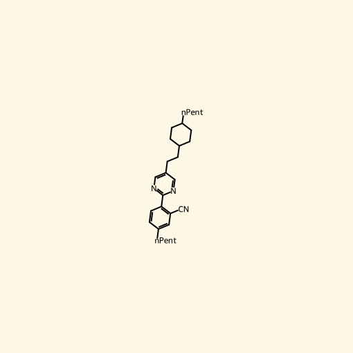 CCCCCc1ccc(-c2ncc(CCC3CCC(CCCCC)CC3)cn2)c(C#N)c1